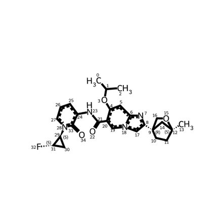 CC(C)Oc1cc2nc([C@@]34CC[C@@](C)(C3)OC4)cn2cc1C(=O)Nc1cccn([C@H]2C[C@@H]2F)c1=O